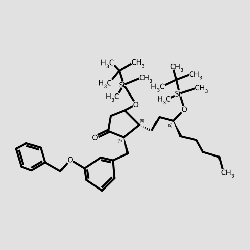 CCCCC[C@@H](CC[C@H]1C(O[Si](C)(C)C(C)(C)C)CC(=O)[C@@H]1Cc1cccc(OCc2ccccc2)c1)O[Si](C)(C)C(C)(C)C